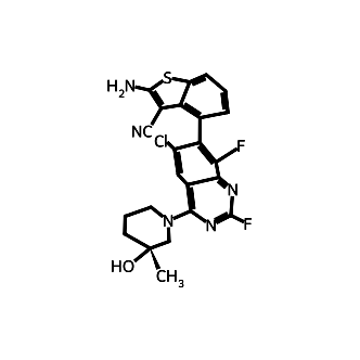 C[C@@]1(O)CCCN(c2nc(F)nc3c(F)c(-c4cccc5sc(N)c(C#N)c45)c(Cl)cc23)C1